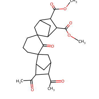 COC(=O)C1C2CC(C1C(=O)OC)C1(CCCC3(CC4CC3C(C(C)=O)C4C(C)=O)C1=O)C2